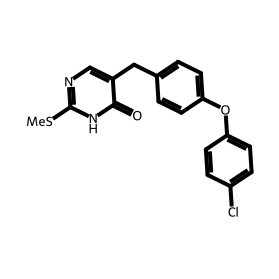 CSc1ncc(Cc2ccc(Oc3ccc(Cl)cc3)cc2)c(=O)[nH]1